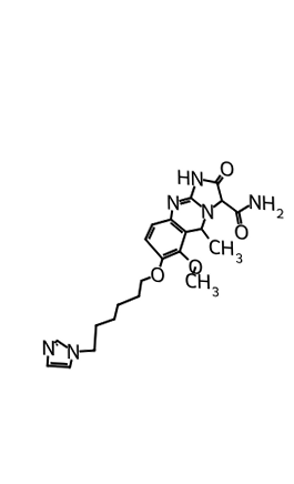 COc1c(OCCCCCCn2ccnc2)ccc2c1C(C)N1C(=N2)NC(=O)C1C(N)=O